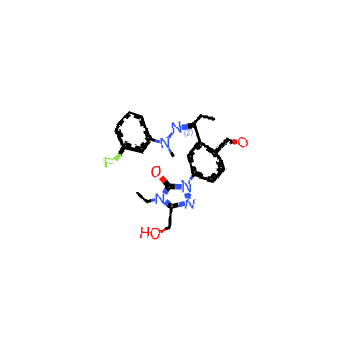 CC/C(=N/N(C)c1cccc(F)c1)c1cc(-n2nc(CO)n(CC)c2=O)ccc1C=O